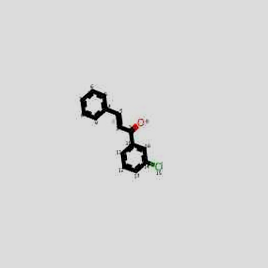 O=C(/C=C/c1ccccc1)c1cccc(Cl)c1